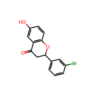 O=C1CC(c2cccc(Br)c2)Oc2ccc(O)cc21